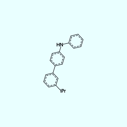 CC(C)c1cccc(-c2ccc(Nc3ccccc3)cc2)c1